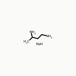 CC(N)CCN.[NaH]